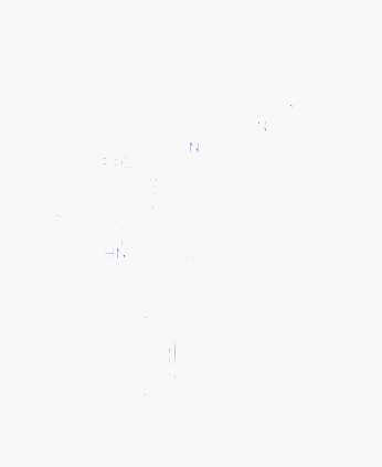 CC(C)(C)N1CCN(c2ccc(F)c(NC(c3ccccc3)c3ccccc3)c2)CC1